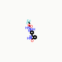 O=C(Nc1nc2cc(-c3n[nH]c(=O)c4ccccc34)ccc2[nH]1)OCC(F)(F)F